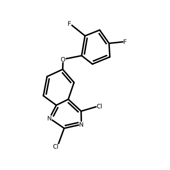 Fc1ccc(Oc2ccc3nc(Cl)nc(Cl)c3c2)c(F)c1